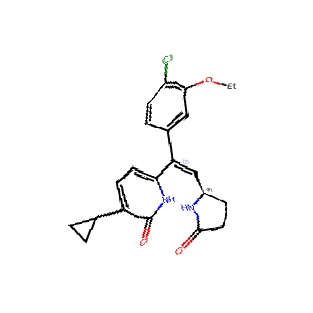 CCOc1cc(/C(=C/[C@H]2CCC(=O)N2)c2ccc(C3CC3)c(=O)[nH]2)ccc1Cl